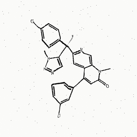 Cn1nncc1[C@@](F)(c1ccc(Cl)cc1)c1cc2c(-c3cccc(Cl)c3)cc(=O)n(C)c2cn1